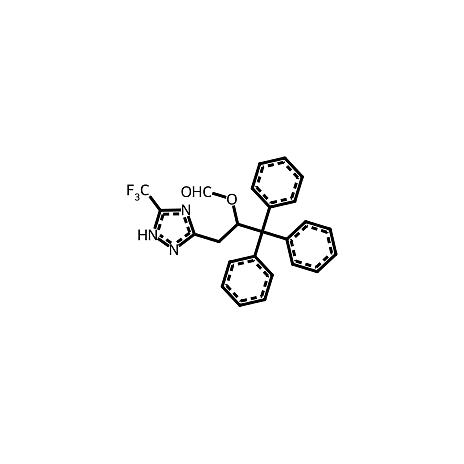 O=COC(Cc1n[nH]c(C(F)(F)F)n1)C(c1ccccc1)(c1ccccc1)c1ccccc1